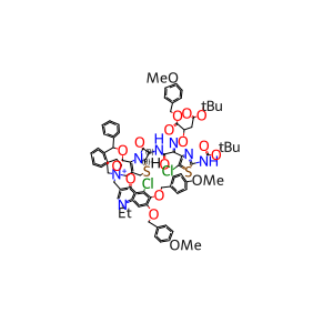 CCn1cc(C[N+]2(CC3=C(C(=O)OC(c4ccccc4)c4ccccc4)N4C(=O)[C@@H](NC(=O)C(=NOC(CC(=O)OC(C)(C)C)C(=O)OCc5ccc(OC)cc5)c5nc(NC(=O)OC(C)(C)C)sc5Cl)[C@H]4SC3)CCCC2)c(=O)c2c(Cl)c(OCc3ccc(OC)cc3)c(OCc3ccc(OC)cc3)cc21